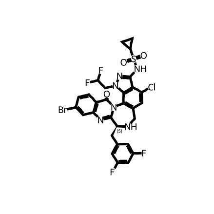 O=c1c2ccc(Br)cc2nc2n1-c1c(cc(Cl)c3c(NS(=O)(=O)C4CC4)nn(CC(F)F)c13)CN[C@H]2Cc1cc(F)cc(F)c1